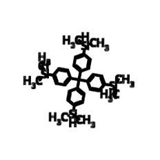 C[SiH](C)c1ccc(C(c2ccc([SiH](C)C)cc2)(c2ccc([SiH](C)C)cc2)c2ccc([SiH](C)C)cc2)cc1